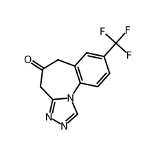 O=C1Cc2cc(C(F)(F)F)ccc2-n2cnnc2C1